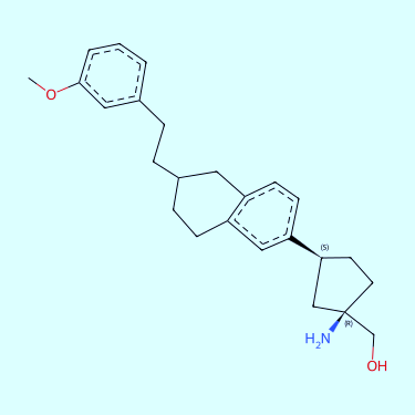 COc1cccc(CCC2CCc3cc([C@H]4CC[C@](N)(CO)C4)ccc3C2)c1